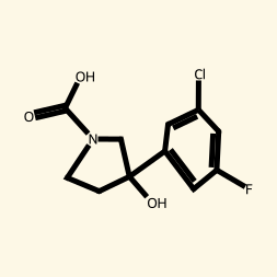 O=C(O)N1CCC(O)(c2cc(F)cc(Cl)c2)C1